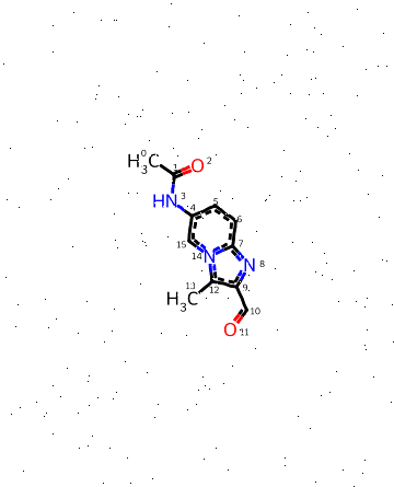 CC(=O)Nc1ccc2nc(C=O)c(C)n2c1